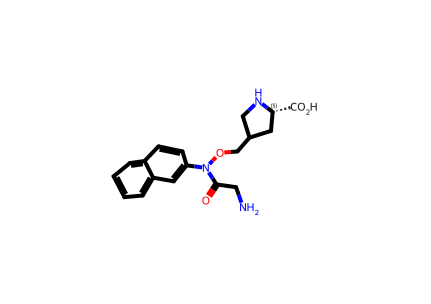 NCC(=O)N(OCC1CN[C@H](C(=O)O)C1)c1ccc2ccccc2c1